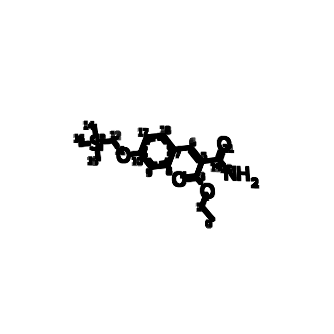 CCOC(=O)C(=Cc1ccc(OC[Si](C)(C)C)cc1)C(N)=O